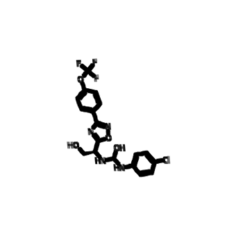 OC[C@H](NC(O)Nc1ccc(Cl)cc1)c1nc(-c2ccc(OC(F)(F)F)cc2)no1